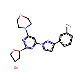 Cc1cccc(-c2ccn(-c3cc(N4CCOCC4)nc([C@H]4C[C@H](O)CO4)n3)n2)c1